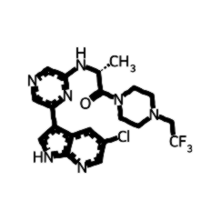 C[C@@H](Nc1cncc(-c2c[nH]c3ncc(Cl)cc23)n1)C(=O)N1CCN(CC(F)(F)F)CC1